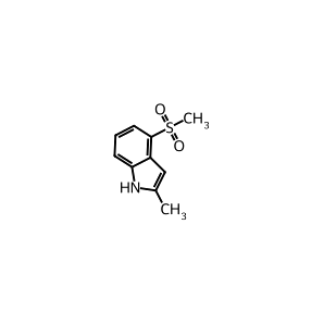 Cc1cc2c(S(C)(=O)=O)cccc2[nH]1